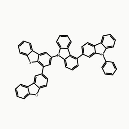 c1ccc(-n2c3ccccc3c3ccc(-c4cccc5c4c4ccccc4n5-c4cc(-c5ccc6oc7ccccc7c6c5)c5sc6ccccc6c5c4)cc32)cc1